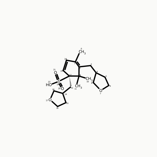 CC1=C(CC2CCOC2)C(C)(C)[C@@](CC2CCOC2)(S(=O)(=O)O)C=C1